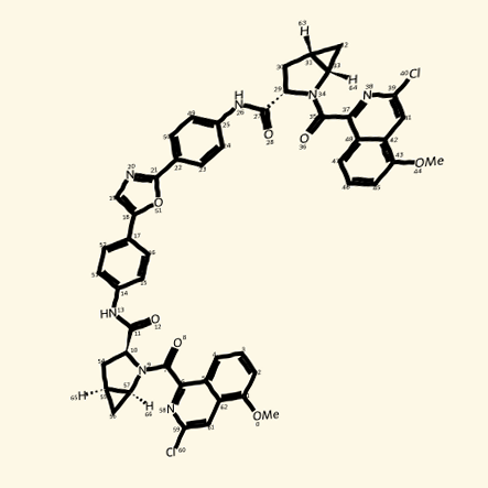 COc1cccc2c(C(=O)N3[C@H](C(=O)Nc4ccc(-c5cnc(-c6ccc(NC(=O)[C@@H]7C[C@@H]8C[C@@H]8N7C(=O)c7nc(Cl)cc8c(OC)cccc78)cc6)o5)cc4)C[C@@H]4C[C@@H]43)nc(Cl)cc12